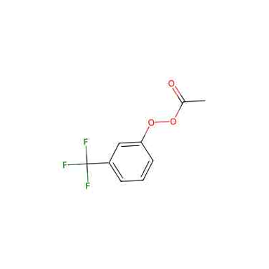 CC(=O)OOc1cccc(C(F)(F)F)c1